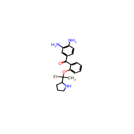 CCC(C)(Oc1ccccc1C(=O)c1ccc(N)c(N)c1)C1CCCN1